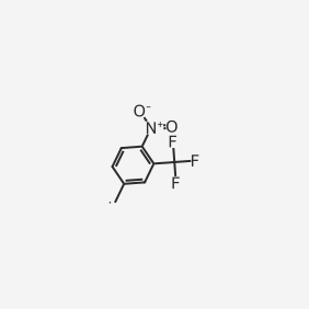 [CH2]c1ccc([N+](=O)[O-])c(C(F)(F)F)c1